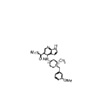 CNC(=O)c1cnc2[nH]ccc2c1N[C@H]1CCN(Cc2cccc(OC)c2)[C@@H](C)C1